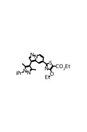 CCOC(=O)c1sc(-c2ccn3ncc(-c4c(C)nn(C(C)C)c4C)c3c2)nc1OCC